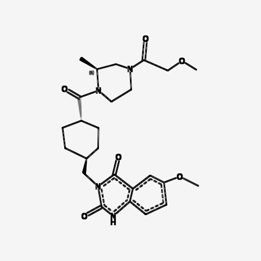 COCC(=O)N1CCN(C(=O)[C@H]2CC[C@H](Cn3c(=O)[nH]c4ccc(OC)cc4c3=O)CC2)[C@@H](C)C1